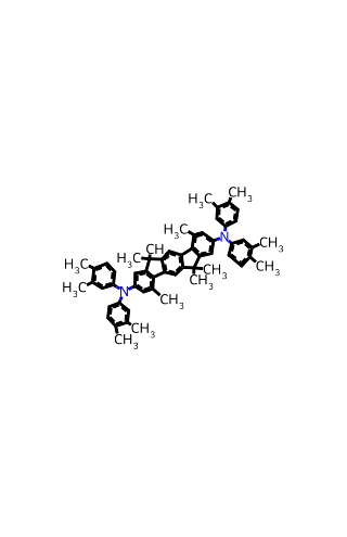 Cc1ccc(N(c2ccc(C)c(C)c2)c2cc(C)c3c(c2)C(C)(C)c2cc4c(cc2-3)C(C)(C)c2cc(N(c3ccc(C)c(C)c3)c3ccc(C)c(C)c3)cc(C)c2-4)cc1C